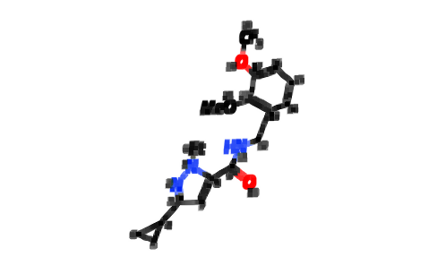 CCn1nc(C2CC2)cc1C(=O)NCc1cccc(OC(F)(F)F)c1OC